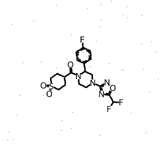 O=C(C1CCS(=O)(=O)CC1)N1CCN(c2noc(C(F)F)n2)CC1c1ccc(F)cc1